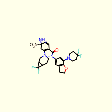 NC1([N+](=O)[O-])C=CC(C(=O)Nc2cc3c(c(N4CCC(F)(F)CC4)c2)OCC3)=C(N2CCC3C(C2)C3(F)F)C1